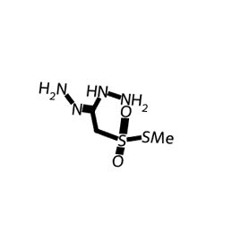 CSS(=O)(=O)C/C(=N/N)NN